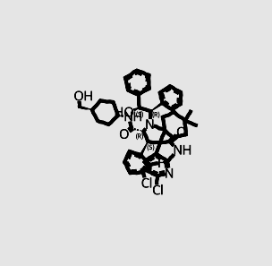 CC1(C)CCC2(CC1)N([C@H](c1ccccc1)[C@@H](O)c1ccccc1)[C@@H](C(=O)N[C@H]1CC[C@H](CO)CC1)[C@H](c1cccc(Cl)c1F)C21C(=O)Nc2nc(Cl)ccc21